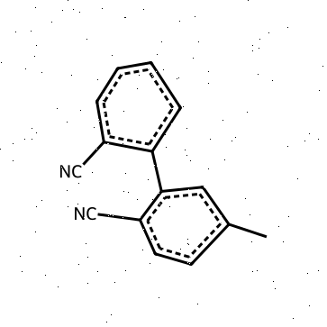 Cc1ccc(C#N)c(-c2ccccc2C#N)c1